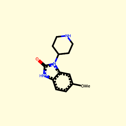 COc1ccc2[nH]c(=O)n(C3CCNCC3)c2c1